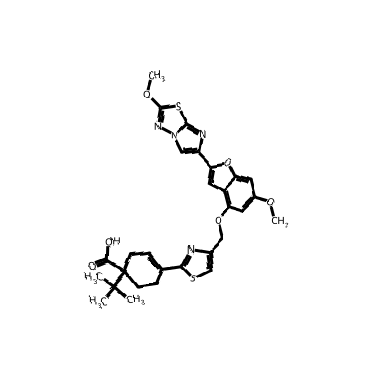 COc1cc(OCc2csc(C3=CCC(C(=O)O)(C(C)(C)C)CC3)n2)c2cc(-c3cn4nc(OC)sc4n3)oc2c1